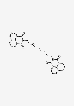 O=C1c2cccc3cccc(c23)C(=O)N1CCOCCCSCCN1C(=O)c2cccc3cccc(c23)C1=O